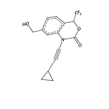 O=C1OC(C(F)(F)F)c2ccc(CO)cc2N1C#CC1CC1